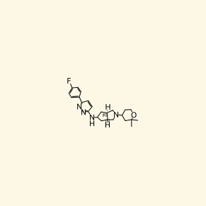 CC1(C)CC(N2C[C@H]3CC(Nc4ccc(-c5ccc(F)cc5)nn4)C[C@H]3C2)CCO1